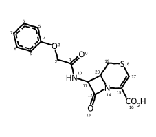 O=C(COc1ccccc1)NC1C(=O)N2C(C(=O)O)=CSCC12